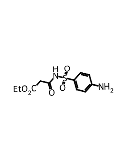 CCOC(=O)CC(=O)NS(=O)(=O)c1ccc(N)cc1